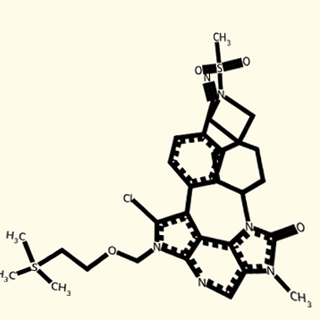 Cn1c(=O)n(C2CCC3(CC2)CN(S(C)(=O)=O)C3)c2c3c(-c4ccc(C#N)cc4)c(Cl)n(COCCS(C)(C)C)c3ncc21